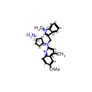 COc1ccc2nc(N(Cc3cn(C)c4ccccc34)[C@H]3CC[C@H](N)C3)cc(C)c2c1